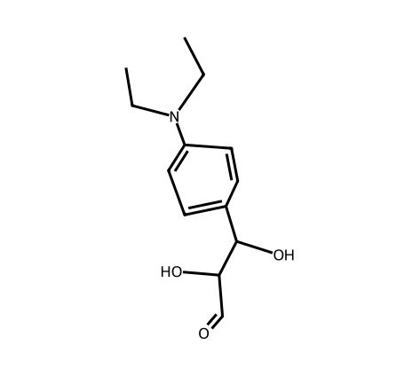 CCN(CC)c1ccc(C(O)C(O)C=O)cc1